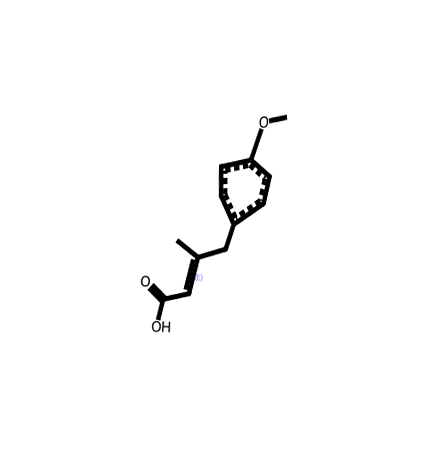 COc1ccc(C/C(C)=C/C(=O)O)cc1